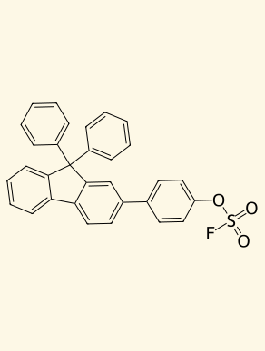 O=S(=O)(F)Oc1ccc(-c2ccc3c(c2)C(c2ccccc2)(c2ccccc2)c2ccccc2-3)cc1